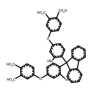 CCCCc1cc(Oc2ccc(C(=O)O)c(C(=O)O)c2)ccc1C1(c2ccc(Oc3ccc(C(=O)O)c(C(=O)O)c3)cc2CCCC)c2ccccc2-c2ccccc21